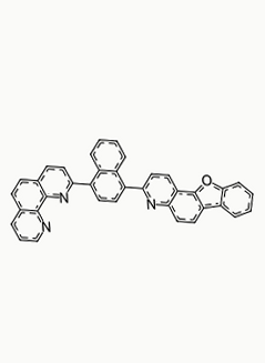 c1cnc2c(c1)ccc1ccc(-c3ccc(-c4ccc5c(ccc6c7ccccc7oc56)n4)c4ccccc34)nc12